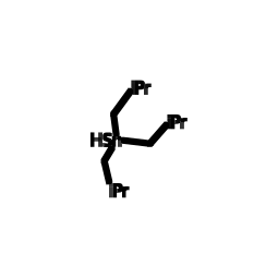 CC(C)[CH2][SnH]([CH2]C(C)C)[CH2]C(C)C